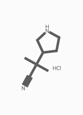 CC(C)(C#N)C1CCNC1.Cl